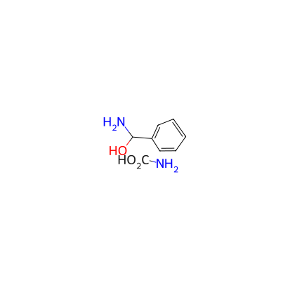 NC(=O)O.NC(O)c1ccccc1